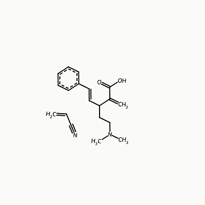 C=C(C(=O)O)C(C=Cc1ccccc1)CCN(C)C.C=CC#N